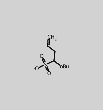 C=CCC(CCCC)S([O])(=O)=O